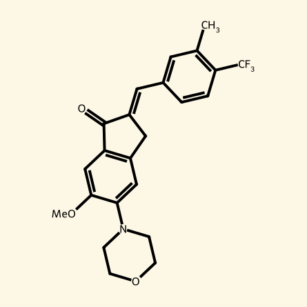 COc1cc2c(cc1N1CCOCC1)C/C(=C\c1ccc(C(F)(F)F)c(C)c1)C2=O